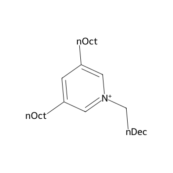 CCCCCCCCCCC[n+]1cc(CCCCCCCC)cc(CCCCCCCC)c1